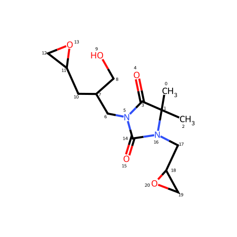 CC1(C)C(=O)N(CC(CO)CC2CO2)C(=O)N1CC1CO1